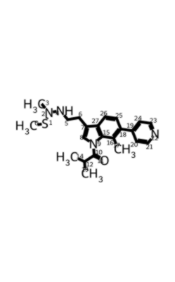 CSN(C)NCCc1cn(C(=O)C(C)C)c2c(C)c(-c3ccncc3)ccc12